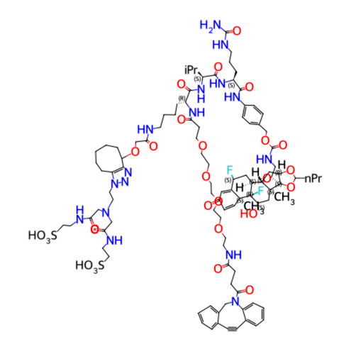 CCCC1O[C@@H]2C[C@H]3[C@@H]4C[C@H](F)C5=CC(=O)C=C[C@]5(C)[C@@]4(F)[C@@H](O)C[C@]3(C)[C@]2(C(=O)CNC(=O)OCc2ccc(NC(=O)[C@H](CCCNC(N)=O)NC(=O)[C@@H](NC(=O)[C@@H](CCCCNC(=O)COC3CCCCCc4c3nnn4CCN(CC(=O)NCCS(=O)(=O)O)CC(=O)NCCS(=O)(=O)O)NC(=O)CCOCCOCCOCCOCCNC(=O)CCC(=O)N3Cc4ccccc4C#Cc4ccccc43)C(C)C)cc2)O1